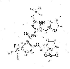 CC(C)(C)Cc1c/c(=N\C(=O)c2cc(C(F)(F)F)ccc2OC[C@@H]2CCCN2S(C)(=O)=O)n(C[C@H]2CCCO2)[nH]1